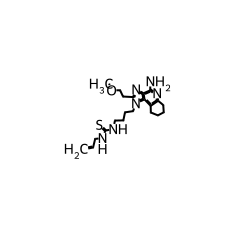 C=CCNC(=S)NCCCCn1c(CCOC)nc2c(N)nc3c(c21)CCCC3